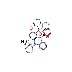 Cc1ccccc1N(c1ccccc1)c1ccc2c(c1N(c1ccccc1)c1ccccc1C)C1(OC(=O)c3ccccc31)c1ccccc1O2